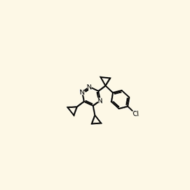 Clc1ccc(C2(c3nnc(C4CC4)c(C4CC4)n3)CC2)cc1